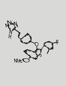 COc1ccc2c(Oc3ccc(/C=C/c4nnn[nH]4)cc3)c(-c3ccc(F)cc3C)sc2c1